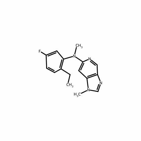 CCc1ccc(F)cc1N(C)c1cc2c(cn1)ncn2C